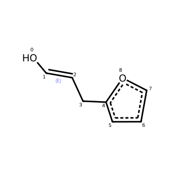 O/C=C/Cc1ccco1